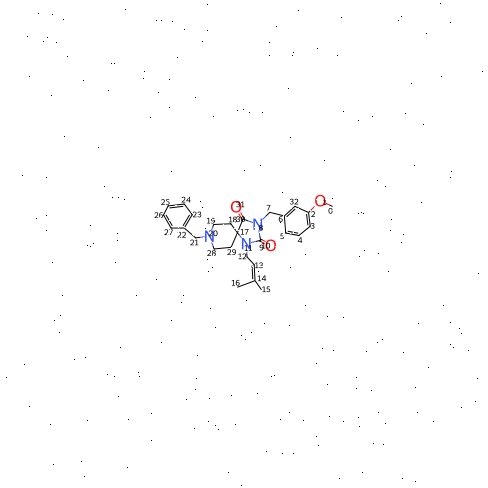 COc1cccc(CN2C(=O)N(CC=C(C)C)C3(CCN(Cc4ccccc4)CC3)C2=O)c1